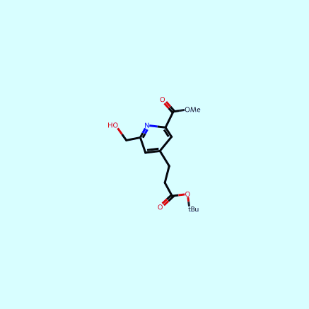 COC(=O)c1cc(CCC(=O)OC(C)(C)C)cc(CO)n1